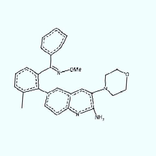 CON=C(c1ccccc1)c1cccc(C)c1-c1ccc2nc(N)c(N3CCOCC3)cc2c1